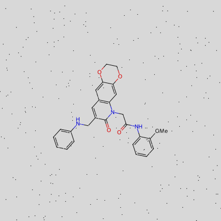 COc1ccccc1NC(=O)Cn1c(=O)c(CNc2ccccc2)cc2cc3c(cc21)OCCO3